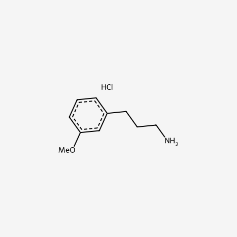 COc1cccc(CCCN)c1.Cl